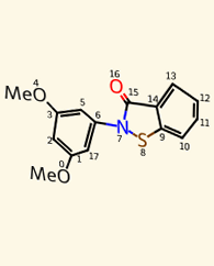 COc1cc(OC)cc(-n2sc3ccccc3c2=O)c1